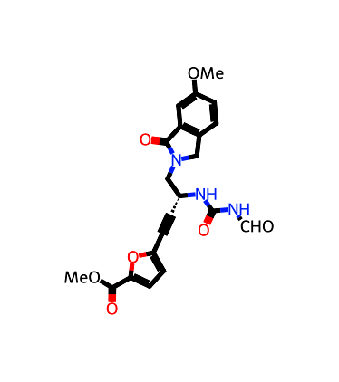 COC(=O)c1ccc(C#C[C@H](CN2Cc3ccc(OC)cc3C2=O)NC(=O)NC=O)o1